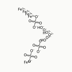 O=S(=O)([O-])[O-].O=S(=O)([O-])[O-].O=S(=O)([O-])[O-].[Fe+3].[Fe+3].[Fe+3].[Fe+3].[Fe+3].[O-2].[O-2].[O-2].[OH-].[OH-].[OH-]